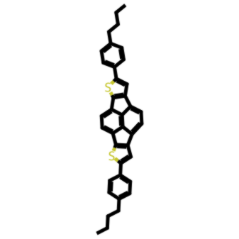 CCCCc1ccc(-c2cc3c(s2)-c2ccc4c5c(ccc-3c25)-c2cc(-c3ccc(CCCC)cc3)sc2-4)cc1